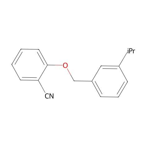 CC(C)c1cccc(COc2ccccc2C#N)c1